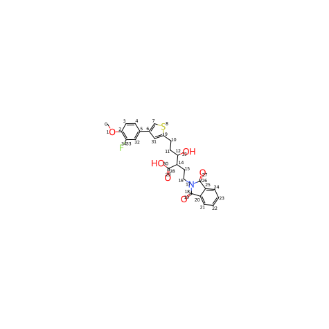 COc1ccc(-c2csc(CCC(O)C(CCN3C(=O)c4ccccc4C3=O)C(=O)O)c2)cc1F